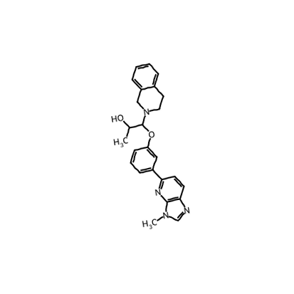 CC(O)C(Oc1cccc(-c2ccc3ncn(C)c3n2)c1)N1CCc2ccccc2C1